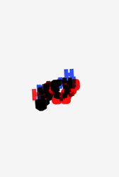 CC[C@H]1OC(=O)[C@H](C)C(=O)[C@@H](C)[C@@H](O[C@@H]2O[C@H](C)CC(N(C)C)C2O)[C@](C)(OC/C=C/c2cnc3ccccc3c2)C[C@@H](C)CN[C@H](C)[C@H]2NC(=O)O[C@@]21CC